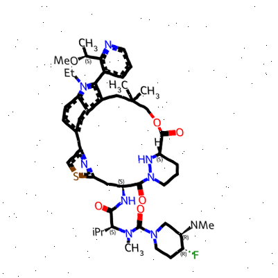 CCn1c(-c2cccnc2[C@H](C)OC)c2c3cc(ccc31)-c1csc(n1)C[C@H](NC(=O)[C@H](C(C)C)N(C)C(=O)N1CC[C@@H](F)[C@H](NC)C1)C(=O)N1CCC[C@H](N1)C(=O)OCC(C)(C)C2